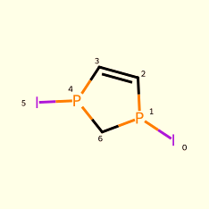 IP1C=CP(I)C1